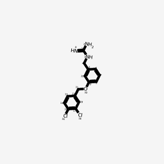 N=C(N)NCc1cccc(OCc2ccc(Cl)c(Cl)c2)c1